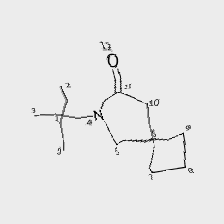 CC(C)(C)N1CC2(CCC2)CC1=O